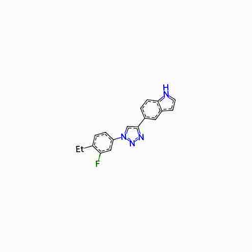 CCc1ccc(-n2cc(-c3ccc4[nH]ccc4c3)nn2)cc1F